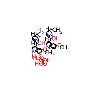 C=C[C@H]1CN2CCC1C[C@@H]2[C@@H](O)c1ccnc2ccc(OC)cc12.C=C[C@H]1CN2CCC1C[C@@H]2[C@@H](O)c1ccnc2ccc(OC)cc12.O.O.O=S(=O)(O)O